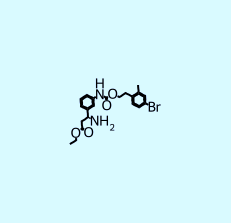 CCOC(=O)C[C@H](N)c1cccc(NC(=O)OCCc2ccc(Br)cc2C)c1